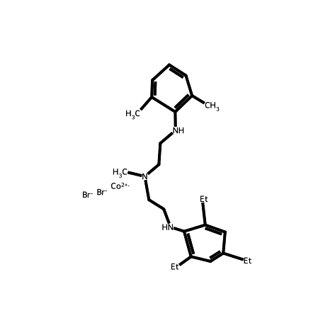 CCc1cc(CC)c(NCCN(C)CCNc2c(C)cccc2C)c(CC)c1.[Br-].[Br-].[Co+2]